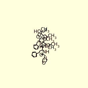 CC(C)CC(NC(=O)[C@H](Cc1ccccc1)NC(=O)[C@H](CC(C)C)NC(=O)C(CCc1ccccc1)NC(=O)CN1CCOCC1)C(=O)C(C)(O)CI